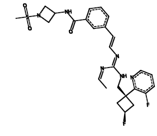 C\C=N/C(=N\C=C\c1cccc(C(=O)NC2CN(S(C)(=O)=O)C2)c1)NC[C@]1(c2ncccc2F)C[C@H](F)C1